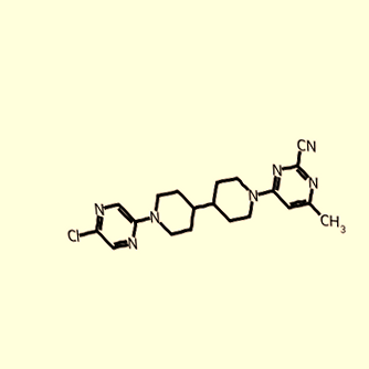 Cc1cc(N2CCC(C3CCN(c4cnc(Cl)cn4)CC3)CC2)nc(C#N)n1